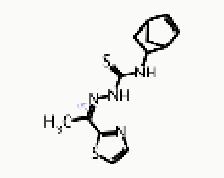 C/C(=N/NC(=S)NC1CC2C=CC1C2)c1nccs1